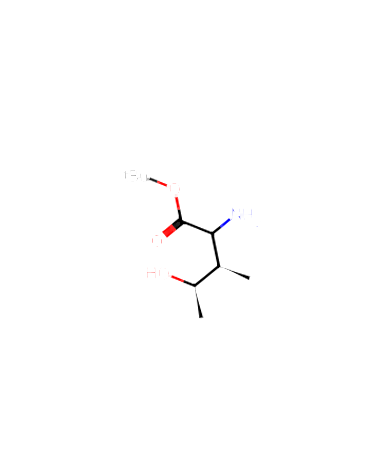 C[C@H](C(N)C(=O)OC(C)(C)C)[C@@H](C)O